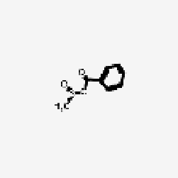 CS(=O)OC(=O)c1ccccc1